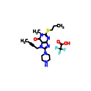 CC#CCn1c(N2CCNCC2)nc2nc(SCCC)n(C)c(=O)c21.O=C(O)C(F)(F)F